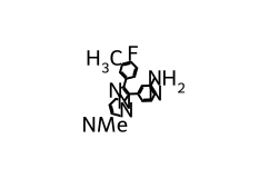 CNc1ccc2nc(-c3ccc(F)c(C)c3)c(-c3ccnc(N)c3)n2n1